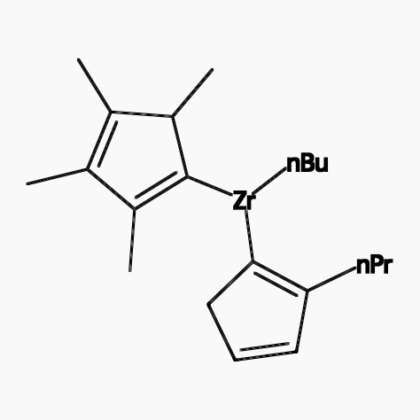 CCC[CH2][Zr]([C]1=C(CCC)C=CC1)[C]1=C(C)C(C)=C(C)C1C